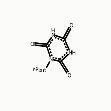 CCCCCn1c(=O)[nH]c(=O)[nH]c1=O